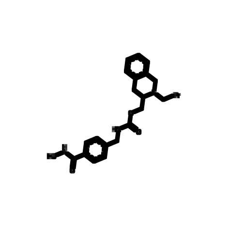 CC(C)CN1Cc2ccccc2CC1COC(=O)NCc1ccc(C(=O)NO)cc1